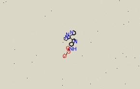 COCCOC(=O)Nc1ccc2c(-c3c(-c4ccccn4)nn4c3CCC4)ccnc2c1